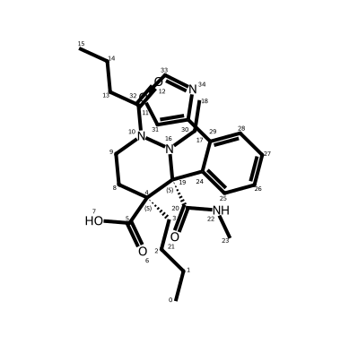 CCCC[C@]1(C(=O)O)CCN(C(=O)CCC)N(CC)[C@@]1(C(=O)NC)c1ccccc1-c1cocn1